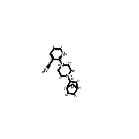 N#Cc1cccnc1N1CCN(C2CC3CCC2C3)CC1